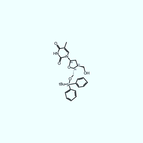 Cc1cn([C@H]2C[C@@H](CO)[C@H](CO[Si](c3ccccc3)(c3ccccc3)C(C)(C)C)O2)c(=O)[nH]c1=O